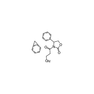 O=C(CCO)N1C(=O)OCC1c1ccccc1.c1ccc2c(c1)C2